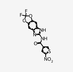 O=C(Nc1nc2cc3c(cc2[nH]1)OC(F)(F)O3)c1csc([N+](=O)[O-])c1